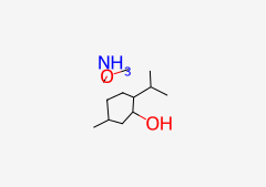 CC1CCC(C(C)C)C(O)C1.COC.N